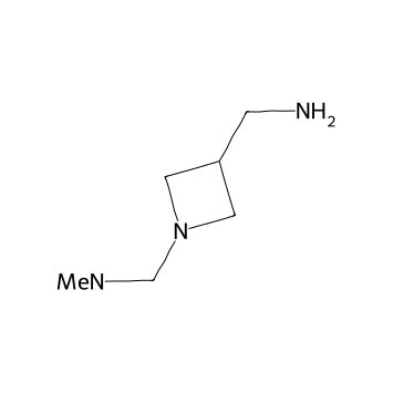 CNCN1CC(CN)C1